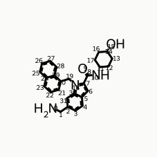 NCc1ccc2cc(C(=O)N[C@H]3CC[C@H](O)CC3)n(Cc3cccc4ccccc34)c2c1